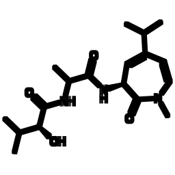 CC(C)C1=C[C@H](NC(=O)C(C)NC(=O)[C@@H](O)C(C)C)C(=O)N(C)C=C1